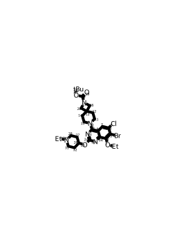 CCOc1c(Br)c(Cl)cc2c(N3CCC4(CC3)CN(C(=O)OC(C)(C)C)C4)nc(OC3CCN(CC)CC3)nc12